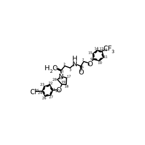 C=C(CCNC(=O)COc1ccc(C(F)(F)F)cc1)N1CCC(Oc2ccc(Cl)cc2)C1